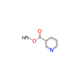 [CH2]CCOC(=O)c1cccnc1